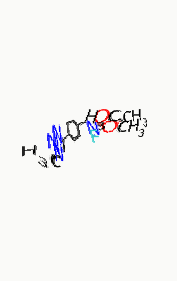 Cn1cc(-c2ccc(CN(F)C(=O)OC(C)(C)C)cc2)nn1